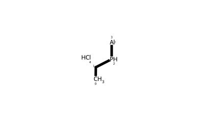 CC[PH][Al].Cl